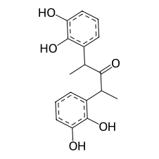 CC(C(=O)C(C)c1cccc(O)c1O)c1cccc(O)c1O